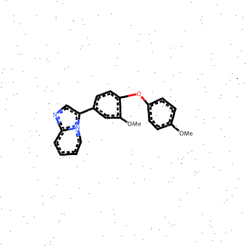 COc1ccc(Oc2ccc(-c3cnc4ccccn34)cc2OC)cc1